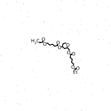 C=CC(=O)OCCCCC(=O)OC1CCOC(COC(=O)CCCCOC(=O)CC)C1